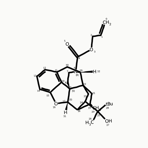 C=CCOC(=O)N1CC[C@]23c4c5cccc4O[C@H]2C2C(C)CC3(CC2C(C)(O)C(C)(C)C)[C@H]1C5